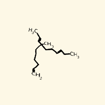 C=CCCCCC(C)(C=CC)CCC=CCC